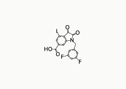 O=C(O)c1cc(I)c2c(c1)N(Cc1cc(F)cc(F)c1)C(=O)C2=O